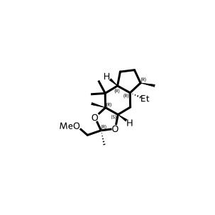 CC[C@]12C[C@@H]3O[C@@](C)(COC)O[C@]3(C)C(C)(C)[C@@H]1CC[C@H]2C